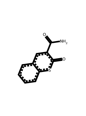 NC(=O)c1cc2ccccc2sc1=O